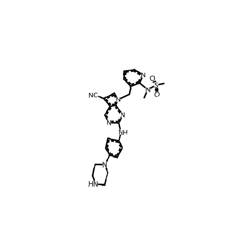 CN(c1ncccc1Cn1cc(C#N)c2cnc(Nc3ccc(N4CCNCC4)cc3)nc21)S(C)(=O)=O